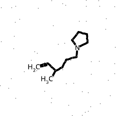 C=CC(C)CCCN1CCCC1